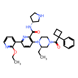 CCOc1ncccc1-c1ccc(N2CCN(C(=O)C3(c4ccccc4)CCC3)C[C@H]2CC)c(C(=O)N[C@@H]2CCNC2)n1